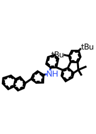 CC(C)(C)c1cc(C(C)(C)C)c2c(c1)C(C)(C)c1cccc(-c3ccccc3Nc3ccc(-c4ccc5ccccc5c4)cc3)c1-2